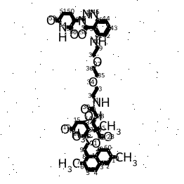 CC1C=C2C=CC(C)C(CC[C@@H]3C[C@@H](O)CC(=O)O3)C2C(OC(=O)C(C)(C)CCC(=O)NCCOCCOCCNc2cccc3nnn(C4CCC(=O)NC4=O)c(=O)c23)C1